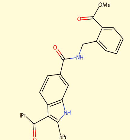 CCCc1[nH]c2cc(C(=O)NCc3ccccc3C(=O)OC)ccc2c1C(=O)C(C)C